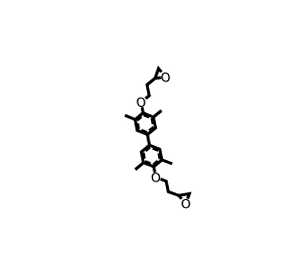 Cc1cc(-c2cc(C)c(OCCC3CO3)c(C)c2)cc(C)c1OCCC1CO1